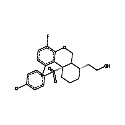 O=S(=O)(c1ccc(Cl)cc1)[C@@]12CCC[C@@H](CCO)C1COc1c(F)ccc(F)c12